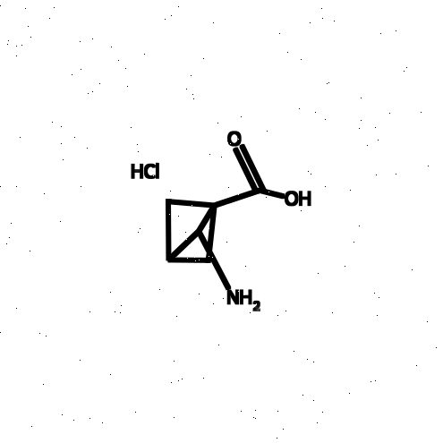 Cl.NC1C2CC1(C(=O)O)C2